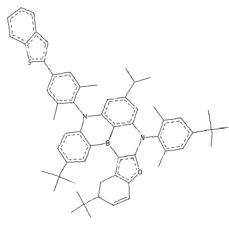 Cc1cc(-c2cc3ccccc3s2)cc(C)c1N1c2ccc(C(C)(C)C)cc2B2c3c1cc(C(C)C)cc3N(c1c(C)cc(C(C)(C)C)cc1C)c1oc3c(c12)CC(C(C)(C)C)C=C3